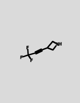 FC(F)(F)C#CC1CNC1